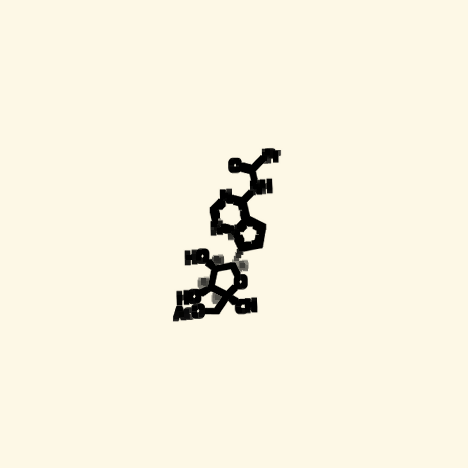 CC(=O)OC[C@@]1(C#N)O[C@@H](c2ccc3c(NC(=O)C(C)C)ncnn23)[C@H](O)[C@@H]1O